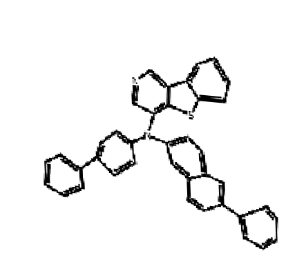 c1ccc(-c2ccc(N(c3ccc4cc(-c5ccccc5)ccc4c3)c3cncc4c3sc3ccccc34)cc2)cc1